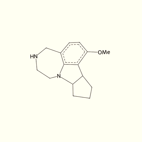 COc1ccc2c3c1C1CCCC1N3CCNC2